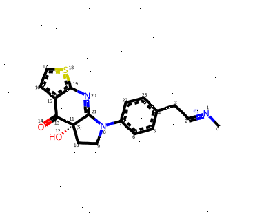 C/N=C/Cc1ccc(N2CC[C@@]3(O)C(=O)c4ccsc4N=C23)cc1